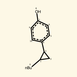 CCCCC1CC1c1ccc(O)cc1